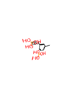 Cc1cccc(C(C)(C)C)c1.OP(O)O.OP(O)O